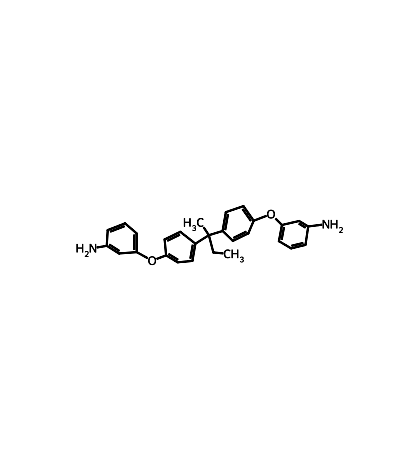 CCC(C)(c1ccc(Oc2cccc(N)c2)cc1)c1ccc(Oc2cccc(N)c2)cc1